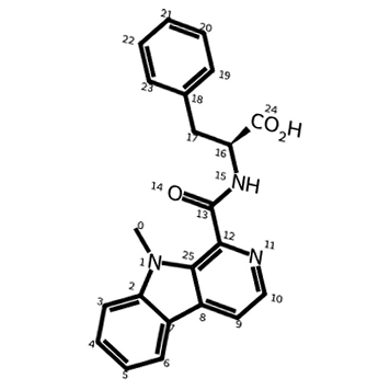 Cn1c2ccccc2c2ccnc(C(=O)N[C@@H](Cc3ccccc3)C(=O)O)c21